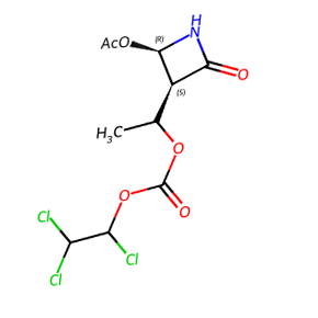 CC(=O)O[C@H]1NC(=O)[C@H]1C(C)OC(=O)OC(Cl)C(Cl)Cl